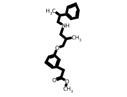 COC(=O)Cc1cccc(OCC(C)CNCC(C)c2ccccc2)c1